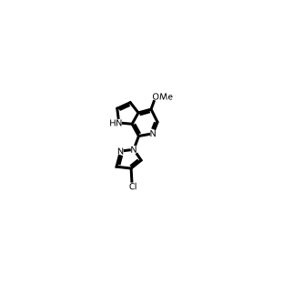 COc1cnc(-n2cc(Cl)cn2)c2[nH]ccc12